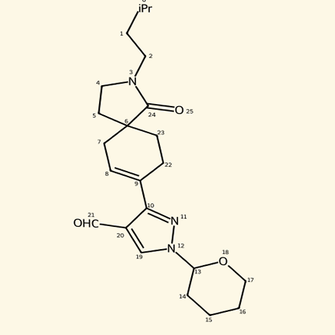 CC(C)CCN1CCC2(CC=C(c3nn(C4CCCCO4)cc3C=O)CC2)C1=O